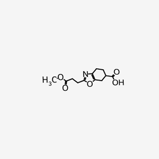 COC(=O)CCc1nc2c(o1)CC(C(=O)O)CC2